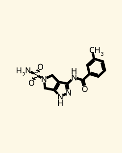 Cc1cccc(C(=O)Nc2n[nH]c3c2CN(S(N)(=O)=O)C3)c1